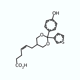 O=C(O)CC/C=C\CC1COC(c2ccc(O)cc2)(c2ccsc2)OC1